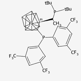 CC(P(C(C)(C)C)C(C)(C)C)[C@@]12[CH]3[CH]4[CH]5[C]1(P(c1cc(C(F)(F)F)cc(C(F)(F)F)c1)c1cc(C(F)(F)F)cc(C(F)(F)F)c1)[Fe]45321678[CH]2[CH]1[CH]6[CH]7[CH]28